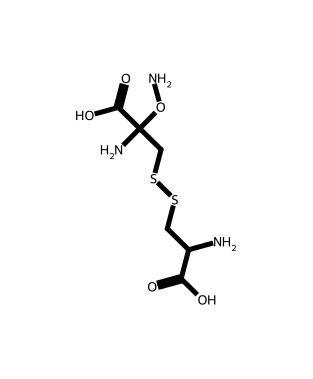 NOC(N)(CSSCC(N)C(=O)O)C(=O)O